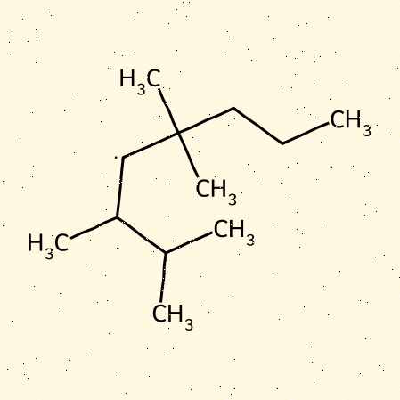 CCCC(C)(C)[CH]C(C)C(C)C